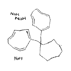 [CH]1CCCC(c2ccccc2)(c2ccccc2)C1.[NaH].[NaH].[NaH]